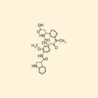 COc1cc(CC(=O)N(C)c2cccc(C(CC(=O)O)NC(C)=O)c2)ccc1NC(=O)C1CNc2ccccc21